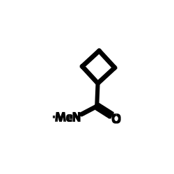 C[N]C(=O)C1CCC1